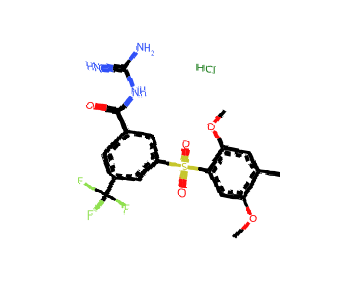 COc1cc(S(=O)(=O)c2cc(C(=O)NC(=N)N)cc(C(F)(F)F)c2)c(OC)cc1C.Cl